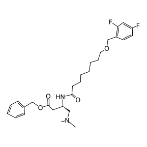 CN(C)C[C@@H](CC(=O)OCc1ccccc1)NC(=O)CCCCCCCOCc1ccc(F)cc1F